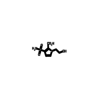 NS(=O)(=O)c1ccn(CCO)c1C(=O)O